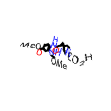 COCCNc1cc(C(=O)OC)ccc1NC(=O)C1CC12CCN(C(=O)O)CC2